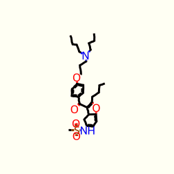 CCCCC1=C(C(=O)c2ccc(OCCCN(CCCC)CCCC)cc2)C2CC(NS(C)(=O)=O)=CC=C2O1